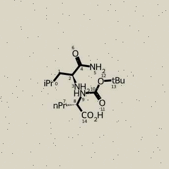 CC(C)C[C@H](N)C(N)=O.CCC[C@H](NC(=O)OC(C)(C)C)C(=O)O